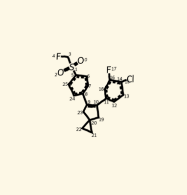 O=S(=O)(CF)c1ccc(C2=C(c3ccc(Cl)c(F)c3)CC3(CC3)C2)cc1